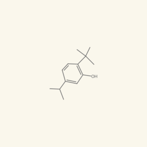 CC(C)c1ccc(C(C)(C)C)c(O)c1